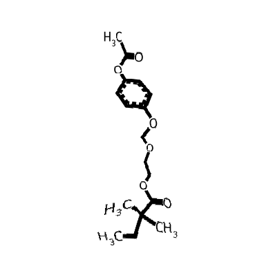 CCC(C)(C)C(=O)OCCOCOc1ccc(OC(C)=O)cc1